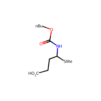 CCCCOC(=O)NC(CCC(=O)O)SC